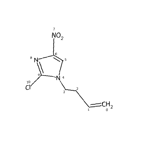 C=CCCn1cc([N+](=O)[O-])nc1Cl